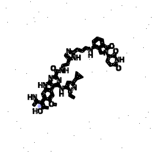 CCn1nc(C2CC2)cc1Nc1nc(C(=O)NCCc2cnc(CCCNc3cccc4c3CN(C3CCC(=O)NC3=O)C4=O)[nH]2)nc2[nH]c3cc(/C(C(C)=N)=C(\C)O)c(OC)cc3c12